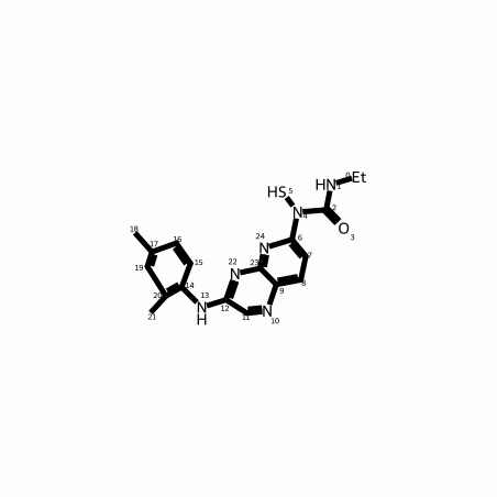 CCNC(=O)N(S)c1ccc2ncc(Nc3ccc(C)cc3C)nc2n1